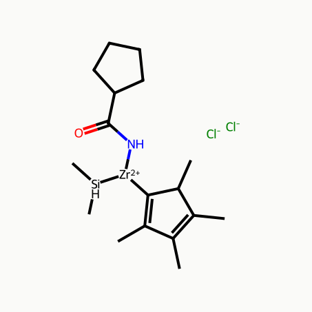 CC1=C(C)C(C)[C]([Zr+2]([NH]C(=O)C2CCCC2)[SiH](C)C)=C1C.[Cl-].[Cl-]